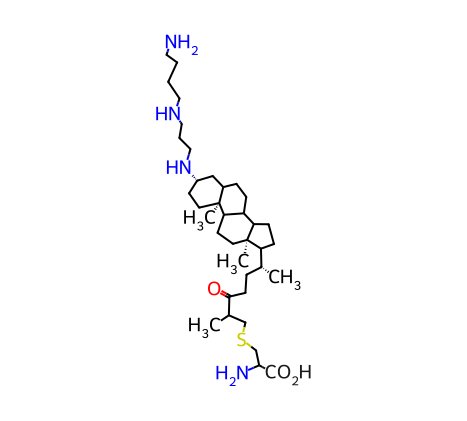 CC(CSCC(N)C(=O)O)C(=O)CC[C@@H](C)C1CCC2C3CCC4C[C@@H](NCCCNCCCCN)CC[C@]4(C)C3CC[C@@]21C